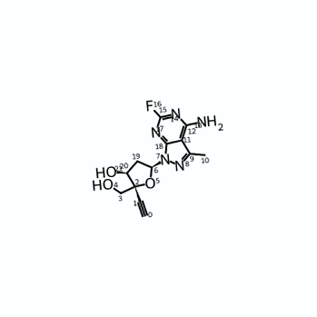 C#C[C@]1(CO)O[C@H](n2nc(C)c3c(N)nc(F)nc32)C[C@@H]1O